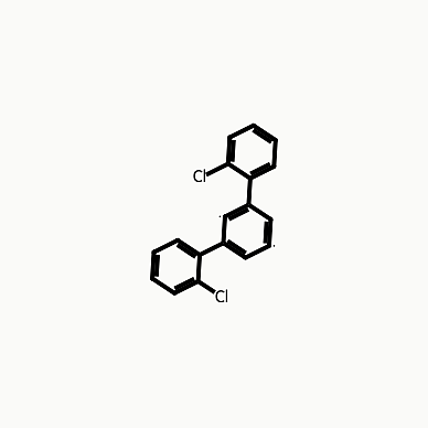 Clc1ccccc1-c1[c]c(-c2ccccc2Cl)c[c]c1